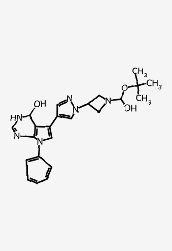 CC(C)(C)OC(O)N1CC(n2cc(-c3cn(-c4ccccc4)c4c3C(O)NC=N4)cn2)C1